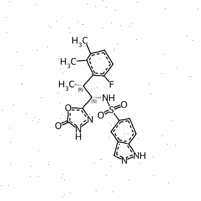 Cc1ccc(F)c([C@@H](C)[C@H](NS(=O)(=O)c2ccc3[nH]ncc3c2)c2n[nH]c(=O)o2)c1C